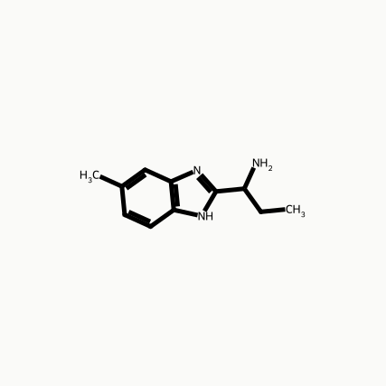 CCC(N)c1nc2cc(C)ccc2[nH]1